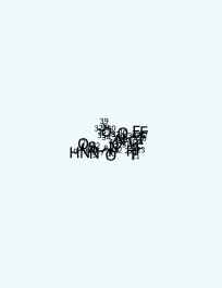 CC(=O)Nc1nc(C=CC(=O)N2CCN(C(=O)c3cc(C(F)(F)F)cc(C(F)(F)F)c3)[C@H](Cc3ccc(C)c(C)c3)C2)cs1